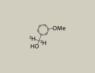 [2H]C([2H])(O)c1cccc(OC)c1